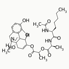 CCCCC[C@H](NC(C)=O)C(=O)N[C@@H](C)C(=O)O[C@@H](C)C(=O)OC1=CC[C@@]2(O)[C@H]3Cc4ccc(O)c5c4[C@@]2(CCN3C)[C@H]1O5